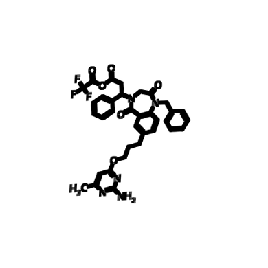 Cc1cc(OCCCc2ccc3c(c2)C(=O)N(C(CC(=O)OC(=O)C(F)(F)F)c2ccccc2)CC(=O)N3Cc2ccccc2)nc(N)n1